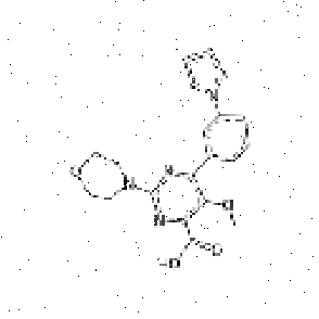 COc1c(C(=O)O)nc(N2CCOCC2)nc1-c1cccc(-n2cccn2)c1